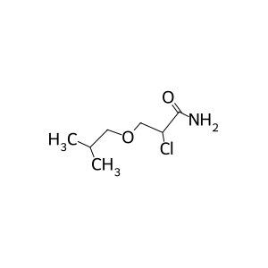 CC(C)COCC(Cl)C(N)=O